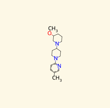 COC1CCCN(C2CCN(c3ccc(C)cn3)CC2)C1